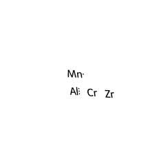 [Al].[Cr].[Mn].[Zr]